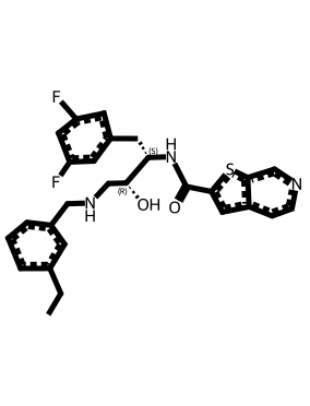 CCc1cccc(CNC[C@@H](O)[C@H](Cc2cc(F)cc(F)c2)NC(=O)c2cc3ccncc3s2)c1